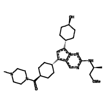 COC[C@H](C)Nc1ncc2c([C@H]3CC[C@H](C(=O)N4CCN(C)CC4)CC3)cc([C@H]3CC[C@H](O)CC3)n2n1